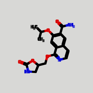 CC(C)Oc1cc2c(OCC3CNC(=O)O3)nccc2cc1C(N)=O